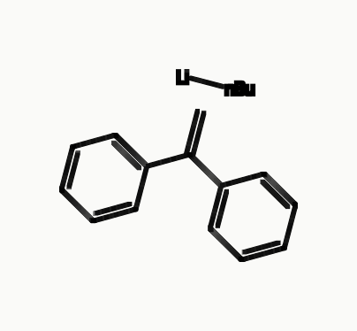 C=C(c1ccccc1)c1ccccc1.[Li][CH2]CCC